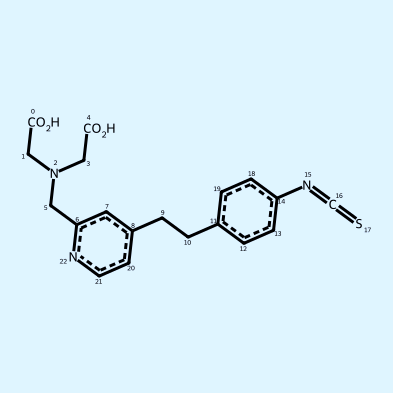 O=C(O)CN(CC(=O)O)Cc1cc(CCc2ccc(N=C=S)cc2)ccn1